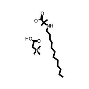 CCCCCCCCCCCCNC(C)(C)C(=O)[O-].C[N+](C)(C)CC(=O)O